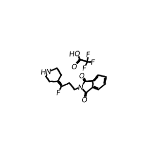 O=C(O)C(F)(F)F.O=C1c2ccccc2C(=O)N1CCC(F)=C1CCNCC1